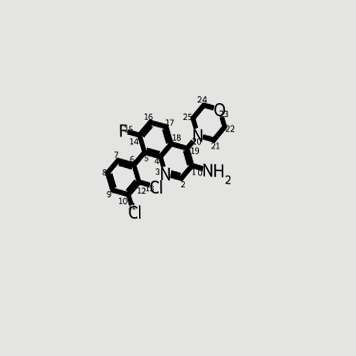 Nc1cnc2c(-c3cccc(Cl)c3Cl)c(F)ccc2c1N1CCOCC1